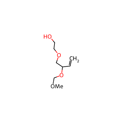 C=CC(COCCO)OCOC